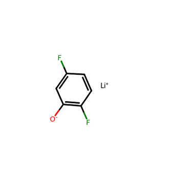 [Li+].[O-]c1cc(F)ccc1F